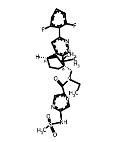 CCN(C[C@]12CC[C@H](C=CC1(C)C)c1cc(-c3c(F)cccc3F)nnc12)C(=O)c1cnc(NS(C)(=O)=O)cn1